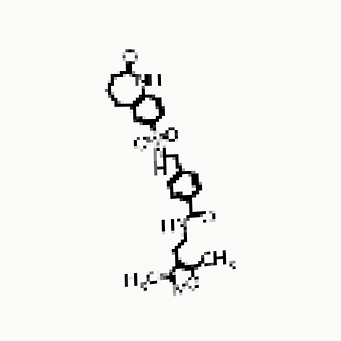 Cc1noc(C)c1CCNC(=O)c1ccc(CNS(=O)(=O)c2ccc3c(c2)CCCC(=O)N3)cc1